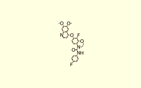 COc1cc2nccc(Oc3ccc4c(c3F)OCCN4C(=O)Nc3ccc(F)cc3)c2cc1OC